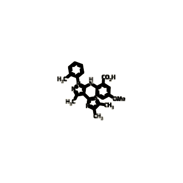 COc1ccc(Nc2c(-c3nc(C)c(C)s3)c(C)nn2-c2ccccc2C)c(C(=O)O)c1